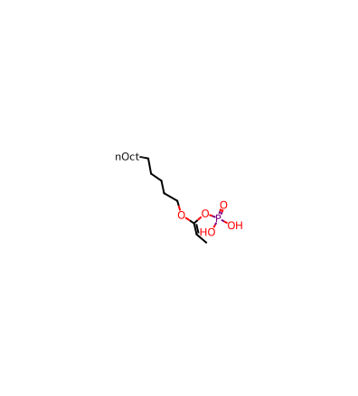 CC=C(OCCCCCCCCCCCCC)OP(=O)(O)O